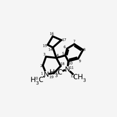 CN1CCC(c2ccccc2N(C)C)(C2CCC2)CC1